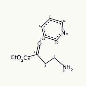 CCOC(=O)C(=O)CCN.c1ccncc1